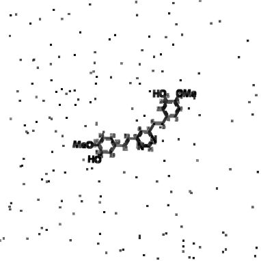 COc1ccc(/C=C/c2cc(/C=C/c3ccc(OC)c(O)c3)ncn2)cc1O